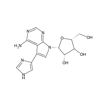 Nc1ncnc2c1c(-c1c[nH]cn1)cn2[C@@H]1O[C@H](CO)C(O)[C@@H]1O